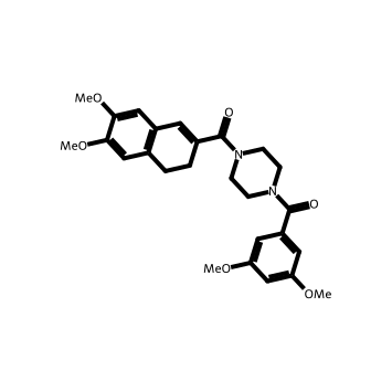 COc1cc(OC)cc(C(=O)N2CCN(C(=O)C3=Cc4cc(OC)c(OC)cc4CC3)CC2)c1